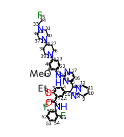 CCOc1ccc(C2N=C3C=CC=CN3C2c2ccnc(Nc3ccc(N4CCC(N5CCN(CCF)CC5)CC4)cc3OC)n2)cc1C(=O)Nc1c(F)cccc1F